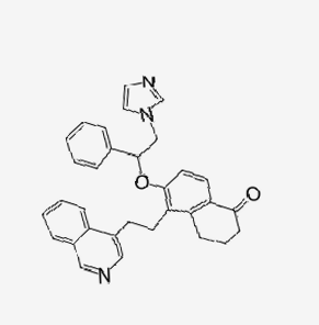 O=C1CCCc2c1ccc(OC(Cn1ccnc1)c1ccccc1)c2CCc1cncc2ccccc12